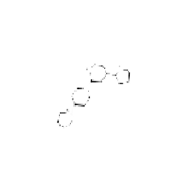 C1CNC(C2CC[N]C(N3CCC(N4CCCC4)CC3)C2)C1